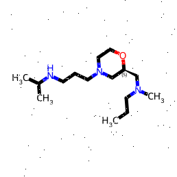 CCCN(C)C[C@H]1CN(CCCNC(C)C)CCO1